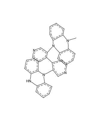 CN1c2ccccc2N(c2cnccc2-c2ccncc2N2c3ccccc3Nc3ccccc32)c2ccccc21